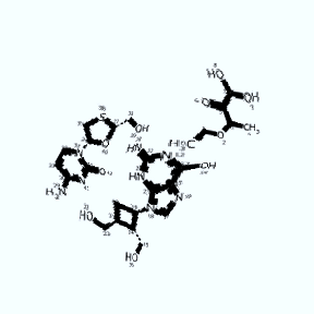 CCOC(C)C(=O)C(O)O.N=c1nc(O)c2ncn([C@@H]3C[C@H](CO)[C@H]3CO)c2[nH]1.Nc1ccn([C@@H]2CS[C@H](CO)O2)c(=O)n1